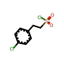 O=S(=O)(Cl)CCc1ccc(Cl)cc1